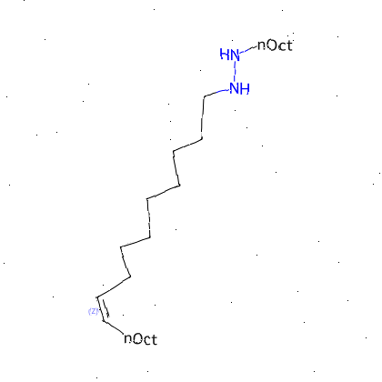 CCCCCCCC/C=C\CCCCCCCCNNCCCCCCCC